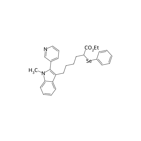 CCOC(=O)C(CCCCc1c(-c2cccnc2)n(C)c2ccccc12)[Se]c1ccccc1